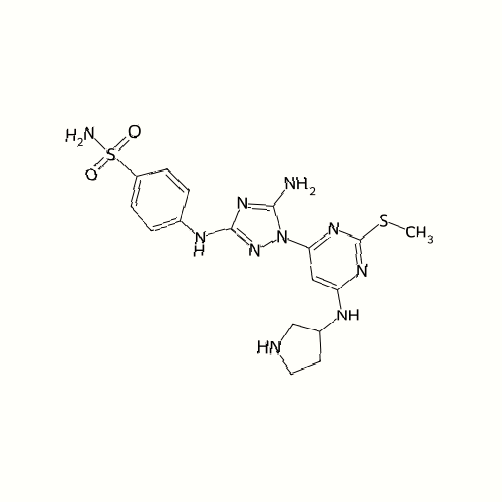 CSc1nc(NC2CCNC2)cc(-n2nc(Nc3ccc(S(N)(=O)=O)cc3)nc2N)n1